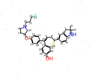 CC1(C)Cc2cc(C3CC=C(c4ccc(O[C@H]5CCN(CCCF)C5)cc4)c4ccc(O)cc4S3)ccc2N1